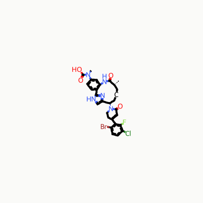 C[C@@H]1CCC[C@H](N2CCC(c3c(Br)ccc(Cl)c3F)=CC2=O)c2c[nH]c(n2)-c2ccc(N(C)C(=O)O)cc2NC1=O